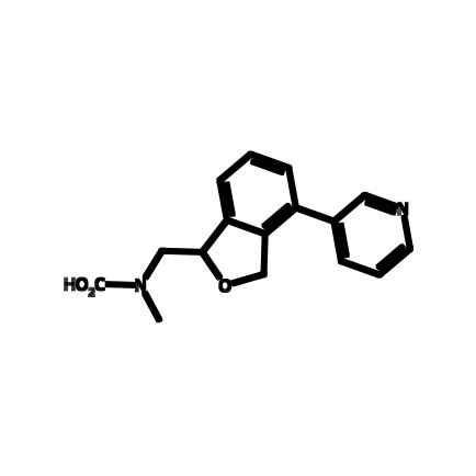 CN(CC1OCc2c(-c3cccnc3)cccc21)C(=O)O